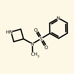 CN(C1CNC1)S(=O)(=O)c1cccnc1